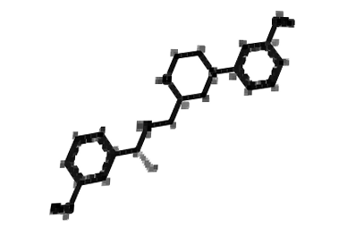 COc1cccc([C@@H](C)NCC2CN(c3cccc(OC)c3)CCO2)c1